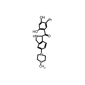 CC(C)c1cc(C(=O)C2NCc3cc(N4CCN(C)CC4)ccc32)c(O)cc1O